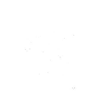 CSC[C@H]1CN(S(=O)(=O)c2cccc(C(F)(F)F)c2)c2cc(NC(=O)OC(C)(C)C)ccc2O1